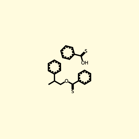 CC(COC(=S)c1ccccc1)c1ccccc1.OC(=S)c1ccccc1